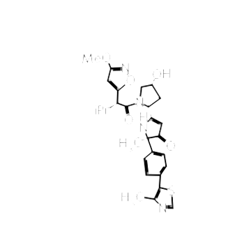 COc1cc([C@@H](C(=O)N2C[C@H](O)C[C@@H]2C2=CC(=O)[C@@](C)(c3ccc(-c4scnc4C)cc3)N2)C(C)C)on1